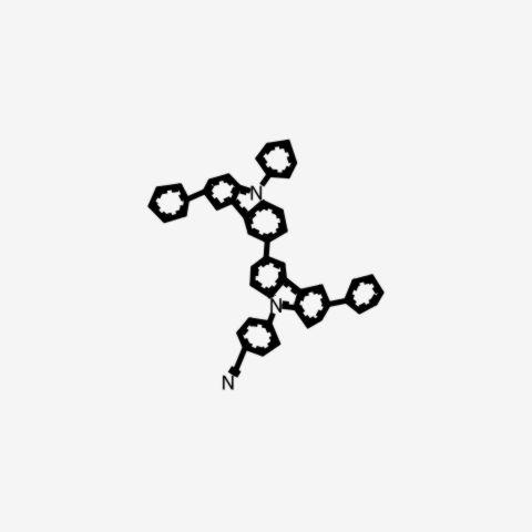 N#Cc1ccc(-n2c3ccc(-c4ccccc4)cc3c3cc(-c4ccc5c(c4)c4cc(-c6ccccc6)ccc4n5-c4ccccc4)ccc32)cc1